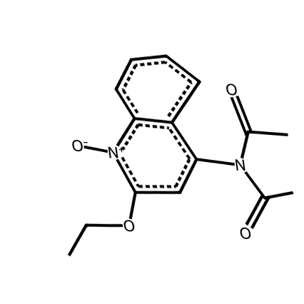 CCOc1cc(N(C(C)=O)C(C)=O)c2ccccc2[n+]1[O-]